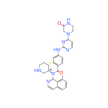 Cc1cccc2ccnc(N(C(=O)c3ccc(Nc4nccc(N5CCNC(=O)C5)n4)cc3F)[C@@H]3CCCNC3)c12